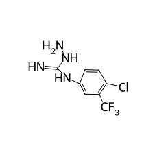 N=C(NN)Nc1ccc(Cl)c(C(F)(F)F)c1